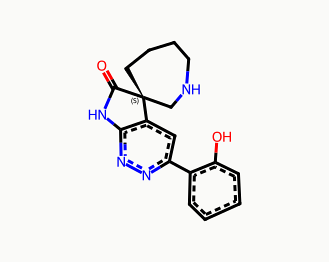 O=C1Nc2nnc(-c3ccccc3O)cc2[C@]12CCCCNC2